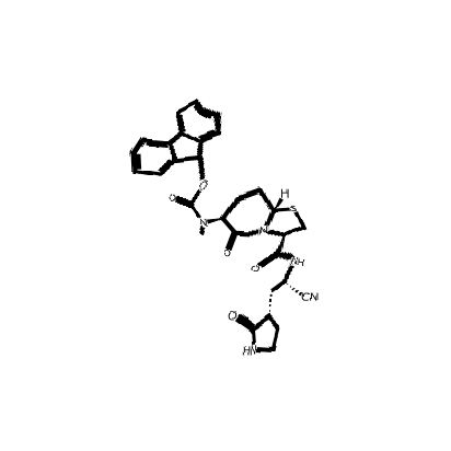 CN(C(=O)OC1c2ccccc2-c2ccccc21)[C@H]1CC[C@@H]2SC[C@@H](C(=O)N[C@H](C#N)C[C@@H]3CCNC3=O)N2C1=O